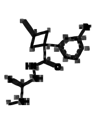 C=C1CC(C(=O)NNC(=S)NC)(c2cccc(Br)c2)C1